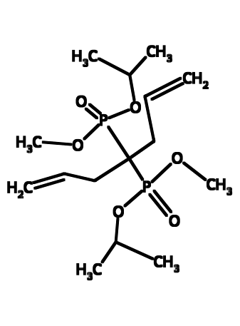 C=CCC(CC=C)(P(=O)(OC)OC(C)C)P(=O)(OC)OC(C)C